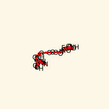 C[C@@H](NC(=O)c1cccc(NC2(c3nnc(-c4ccncc4)[nH]3)CCN(C(=O)OC(C)(C)C)CC2)c1)c1ccc(OCCCCCCOCCOCCOCCCC(=O)N2CCN(c3cc4c(cc3F)C(=O)N(C3CCC(=O)NC3=O)C4=O)CC2)cc1